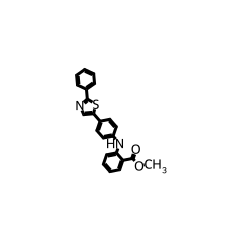 COC(=O)c1ccccc1Nc1ccc(-c2cnc(-c3ccccc3)s2)cc1